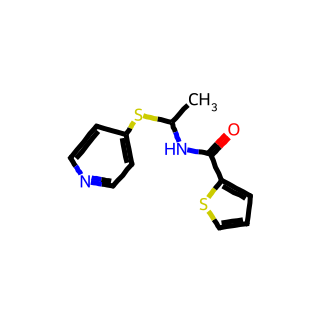 CC(NC(=O)c1cccs1)Sc1ccncc1